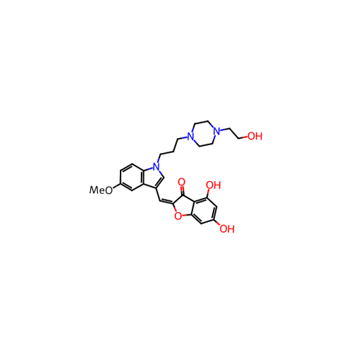 COc1ccc2c(c1)c(C=C1Oc3cc(O)cc(O)c3C1=O)cn2CCCN1CCN(CCO)CC1